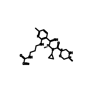 COC(=O)NCCCNc1nc(C)ccc1C(=N)[C@@H](C)N(C(=O)[C@H]1CN[C@@H](C)CO1)C1CC1